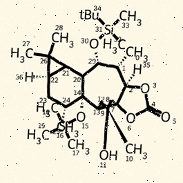 C[C@@H]1[C@H]2OC(=O)O[C@]23C[C@](C)(O)C=C3[C@]2(O[Si](C)(C)C)C(C3[C@@H](C[C@H]2C)C3(C)C)[C@@H]1O[Si](C)(C)C(C)(C)C